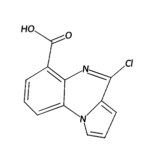 O=C(O)c1cccc2c1nc(Cl)c1cccn12